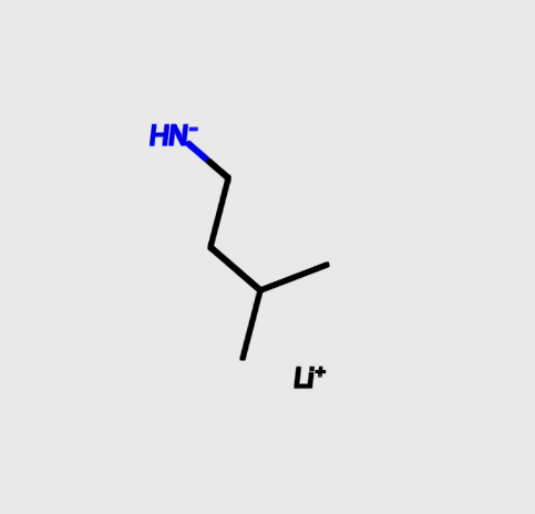 CC(C)CC[NH-].[Li+]